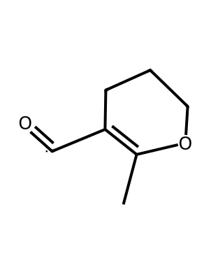 CC1=C([C]=O)CCCO1